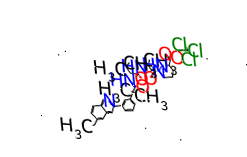 CCc1ccc2cnc(-c3cccc(C(C)(C)C(=O)NC(C(=O)NC(C)C(=O)N4CCCC(C(=O)OCC(Cl)(Cl)Cl)N4)C(C)C)c3)cc2c1